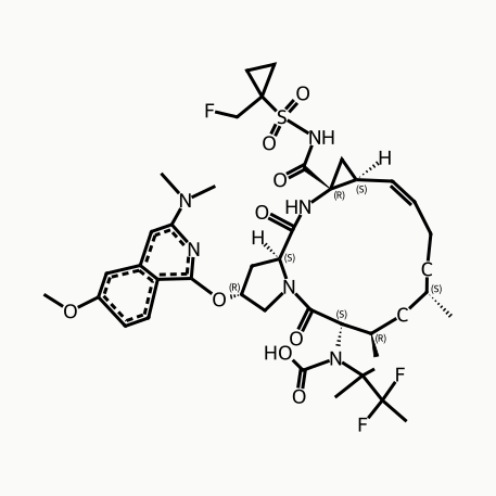 COc1ccc2c(O[C@@H]3C[C@H]4C(=O)N[C@]5(C(=O)NS(=O)(=O)C6(CF)CC6)C[C@H]5C=CCC[C@H](C)C[C@@H](C)[C@H](N(C(=O)O)C(C)(C)C(C)(F)F)C(=O)N4C3)nc(N(C)C)cc2c1